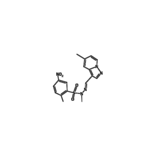 Cc1ccn2ncc(C=NN(C)S(=O)(=O)c3cc([N+](=O)[O-])ccc3C)c2c1